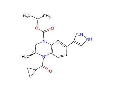 CC(C)OC(=O)N1C[C@H](C)N(C(=O)C2CC2)c2ccc(-c3cn[nH]c3)cc21